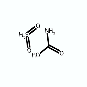 NC(=O)O.O=[SH2]=O